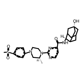 C[C@@H]1CN(c2ccc(S(C)(=O)=O)cc2)CCN1c1nccc(C(=O)N[C@H]2C3CC4CC2C[C@](O)(C4)C3)n1